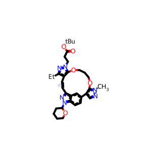 CCc1nn(CCC(=O)OC(C)(C)C)c2c1/C=C\c1nn(C3CCCCO3)c3ccc(cc13)-c1cnn(C)c1OCCCO2